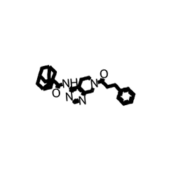 O=C(CCc1ccccc1)N1CCc2c(ncnc2NC(=O)C23CC4CC(CC(C4)C2)C3)C1